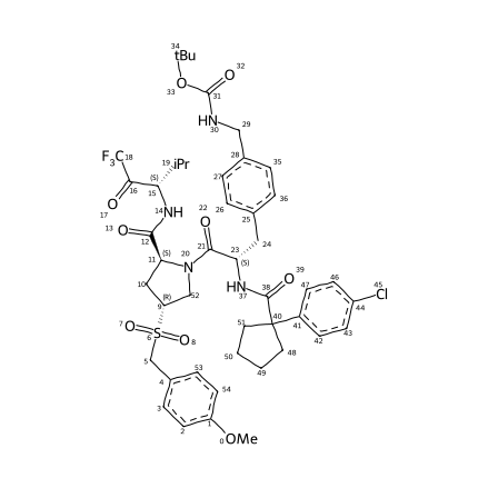 COc1ccc(CS(=O)(=O)[C@@H]2C[C@@H](C(=O)N[C@H](C(=O)C(F)(F)F)C(C)C)N(C(=O)[C@H](Cc3ccc(CNC(=O)OC(C)(C)C)cc3)NC(=O)C3(c4ccc(Cl)cc4)CCCC3)C2)cc1